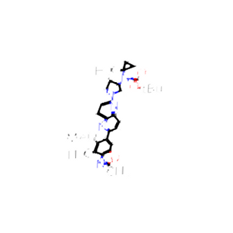 COc1c(-c2ccc3nc(N4CCC(N(C(=O)OC(C)(C)C)C5(C)CC5)C4)ccc3n2)cc2oc(C)nc2c1C